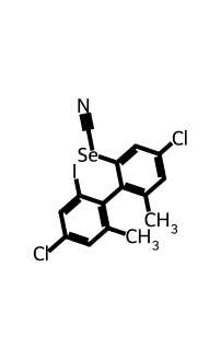 Cc1cc(Cl)cc(I)c1-c1c(C)cc(Cl)cc1[Se]C#N